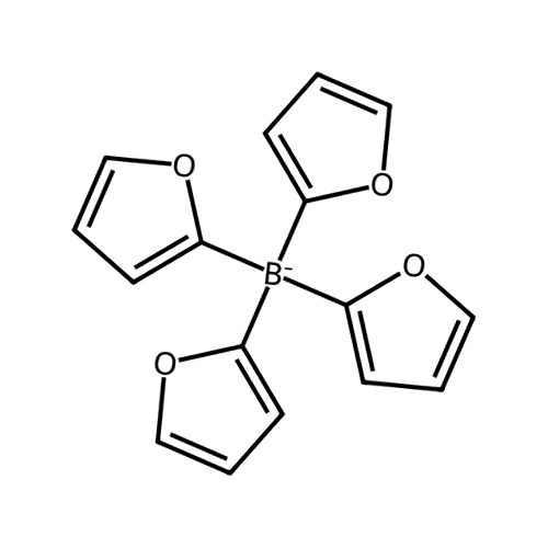 c1coc([B-](c2ccco2)(c2ccco2)c2ccco2)c1